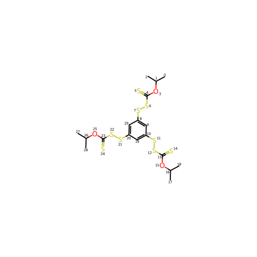 CC(C)OC(=S)SSc1cc(SSC(=S)OC(C)C)cc(SSC(=S)OC(C)C)c1